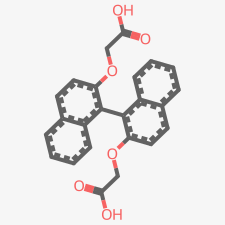 O=C(O)COc1ccc2ccccc2c1-c1c(OCC(=O)O)ccc2ccccc12